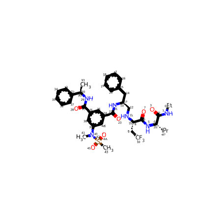 CCNC(=O)[C@@H](NC(=O)[C@H](CC(F)(F)F)NC[C@H](Cc1ccccc1)NC(=O)c1cc(C(=O)N[C@H](C)c2ccccc2)cc(N(C)S(C)(=O)=O)c1)C(C)C